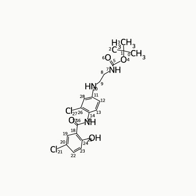 CC(C)(C)OC(=O)NCCNc1ccc(NC(=O)c2cc(Cl)ccc2O)c(Cl)c1